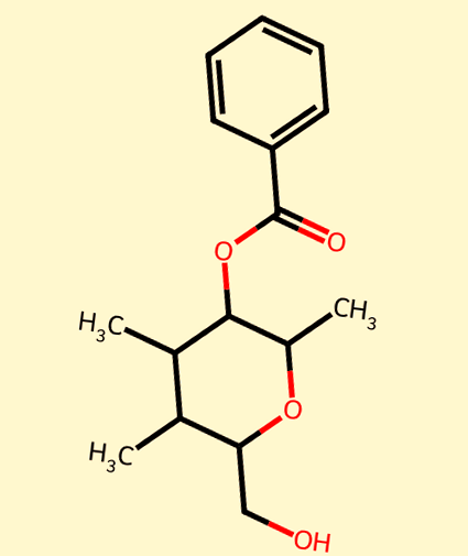 CC1OC(CO)C(C)C(C)C1OC(=O)c1ccccc1